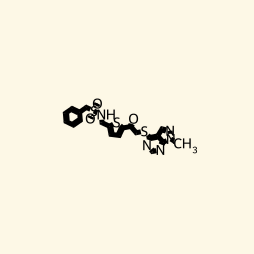 Cn1ncc2c(SCC(=O)c3ccc(CNS(=O)(=O)Cc4ccccc4)s3)ncnc21